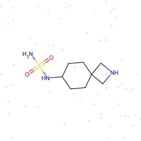 NS(=O)(=O)NC1CCC2(CC1)CNC2